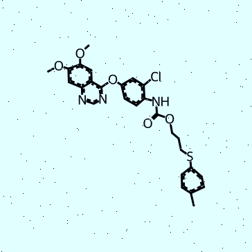 COc1cc2ncnc(Oc3ccc(NC(=O)OCCCSc4ccc(C)cc4)c(Cl)c3)c2cc1OC